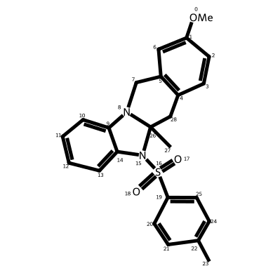 COc1ccc2c(c1)CN1c3ccccc3N(S(=O)(=O)c3ccc(C)cc3)C1(C)C2